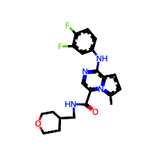 Cc1ccc2c(Nc3ccc(F)c(F)c3)ncc(C(=O)NCC3CCOCC3)n12